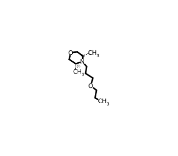 CCCOCCCN1[C@H](C)COC[C@@H]1C